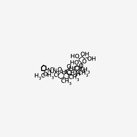 COc1ccccc1N1CCN(C(=O)[C@@]2(C)CC[C@]3(C)CC[C@]4(C)C(=CC(=O)[C@@H]5[C@@]6(C)CC[C@H](O[C@@H]7O[C@H](CO)[C@@H](O)[C@H](O)[C@H]7O)C(C)(C)[C@@H]6CC[C@]54C)[C@@H]3C2)CC1